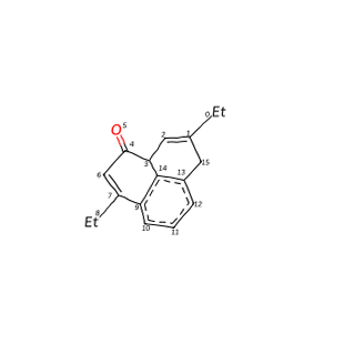 CCC1=CC2C(=O)C=C(CC)c3cccc(c32)C1